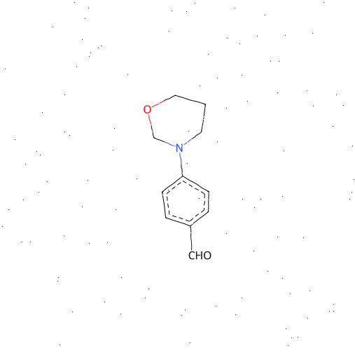 O=Cc1ccc(N2CCCOC2)cc1